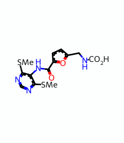 CSc1ncnc(SC)c1NC(=O)c1ccc(CNC(=O)O)o1